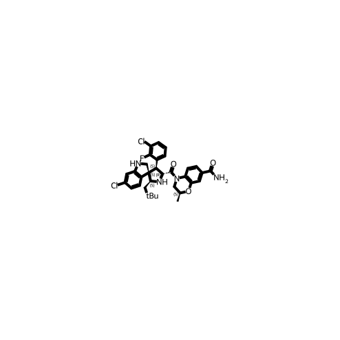 C[C@H]1CN(C(=O)[C@@H]2N[C@@H](CC(C)(C)C)[C@@]3(CNc4cc(Cl)ccc43)[C@H]2c2cccc(Cl)c2F)c2ccc(C(N)=O)cc2O1